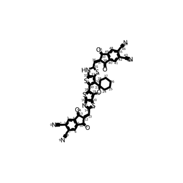 N#Cc1cc2c(cc1C#N)C(=O)C(=Cc1nc3sc4c(c3s1)OC1(CCCCC1)c1c-4sc3c1SC(C=C1C(=O)c4cc(C#N)c(C#N)cc4C1=O)N3)C2=O